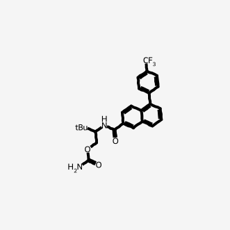 CC(C)(C)C(COC(N)=O)NC(=O)c1ccc2c(-c3ccc(C(F)(F)F)cc3)cccc2c1